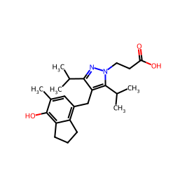 Cc1cc(Cc2c(C(C)C)nn(CCC(=O)O)c2C(C)C)c2c(c1O)CCC2